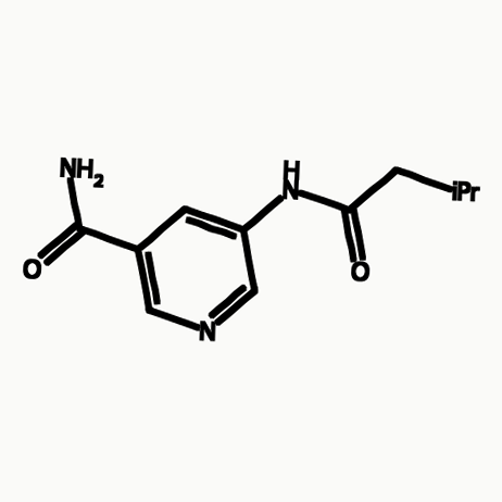 CC(C)CC(=O)Nc1cncc(C(N)=O)c1